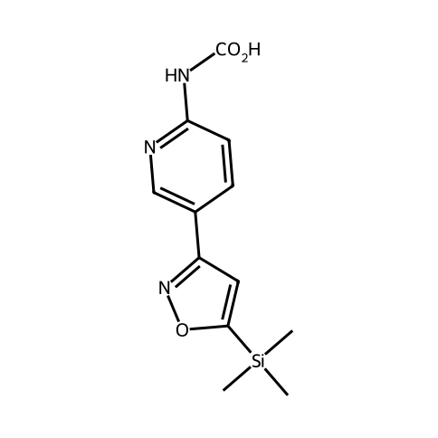 C[Si](C)(C)c1cc(-c2ccc(NC(=O)O)nc2)no1